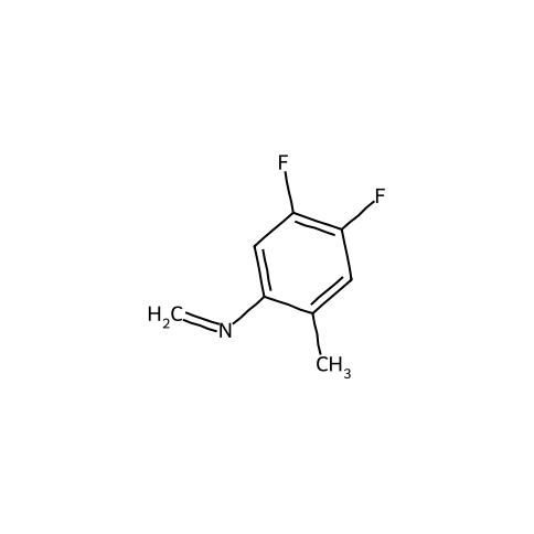 C=Nc1cc(F)c(F)cc1C